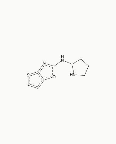 c1cc2oc(NC3CCCN3)nc2s1